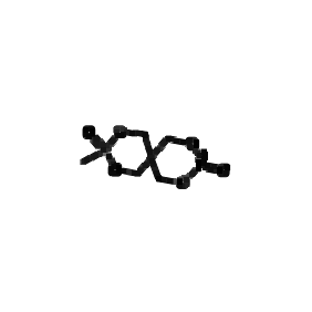 CP1(=O)OCC2(CO[PH](=O)OC2)CO1